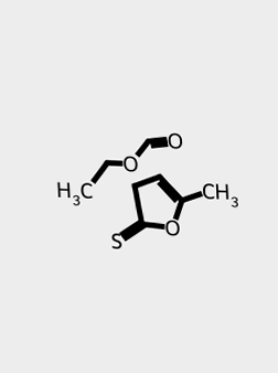 CC1=CCC(=S)O1.CCOC=O